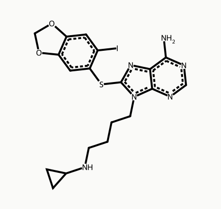 Nc1ncnc2c1nc(Sc1cc3c(cc1I)OCO3)n2CCCCNC1CC1